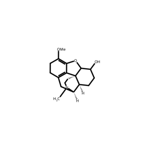 COC1=C2OC3C(O)CC[C@H]4[C@H]5CC(=C2[C@@]34CCN5C)CC1